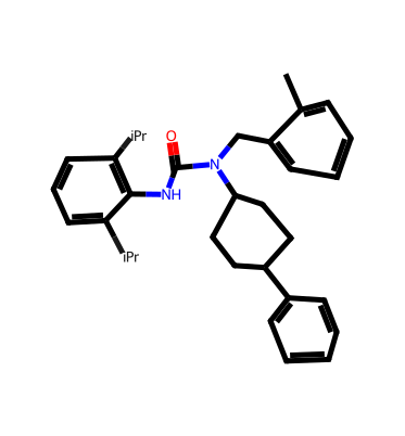 Cc1ccccc1CN(C(=O)Nc1c(C(C)C)cccc1C(C)C)C1CCC(c2ccccc2)CC1